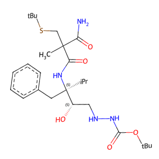 CC(C)[C@](Cc1ccccc1)(NC(=O)C(C)(CSC(C)(C)C)C(N)=O)[C@@H](O)CNNC(=O)OC(C)(C)C